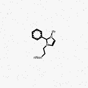 CCCCCCCCCCCN1C=CN(C(C)C)C1c1ccccc1